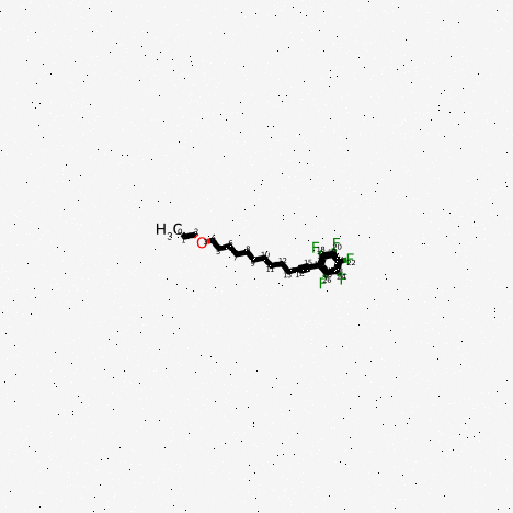 CCCOCCCCCCCCCCC#Cc1c(F)c(F)c(F)c(F)c1F